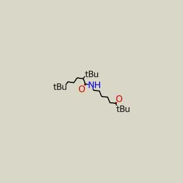 CC(C)(C)CCCC(C(=O)NCCCCCC(=O)C(C)(C)C)C(C)(C)C